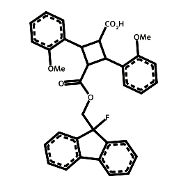 COc1ccccc1C1C(C(=O)O)C(c2ccccc2OC)C1C(=O)OCC1(F)c2ccccc2-c2ccccc21